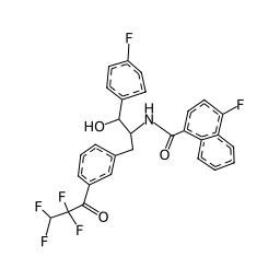 O=C(NC(Cc1cccc(C(=O)C(F)(F)C(F)F)c1)C(O)c1ccc(F)cc1)c1ccc(F)c2ccccc12